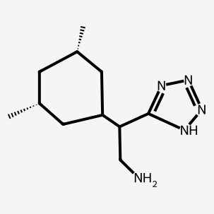 C[C@@H]1CC(C(CN)c2nnn[nH]2)C[C@H](C)C1